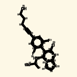 CC(Nc1c(-c2c(F)cc(C#CCCCO)cc2F)c(Cl)nc2ncnn12)C(C)(C)C